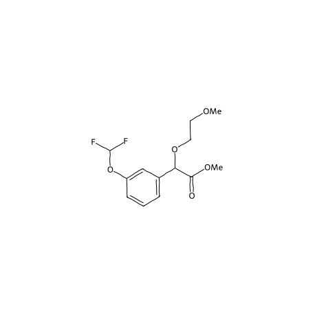 COCCOC(C(=O)OC)c1cccc(OC(F)F)c1